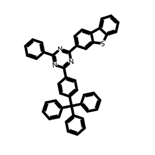 c1ccc(-c2nc(-c3ccc(C(c4ccccc4)(c4ccccc4)c4ccccc4)cc3)nc(-c3ccc4c(c3)sc3ccccc34)n2)cc1